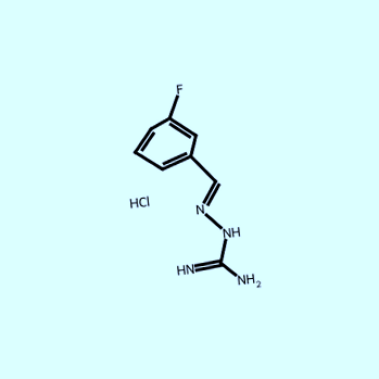 Cl.N=C(N)NN=Cc1cccc(F)c1